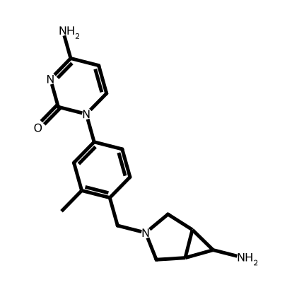 Cc1cc(-n2ccc(N)nc2=O)ccc1CN1CC2C(N)C2C1